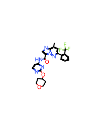 Cc1cc(-c2ccccc2C(F)(F)F)nn2c(C(=O)Nc3ccnc(OC4CCOCC4)n3)cnc12